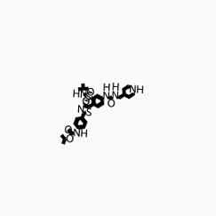 CC(C)OC(=O)Nc1ccc(-c2ncc(-c3ccc(NC(=O)NCC4CCNCC4)cc3S(=O)(=O)NC(C)(C)C)s2)cc1